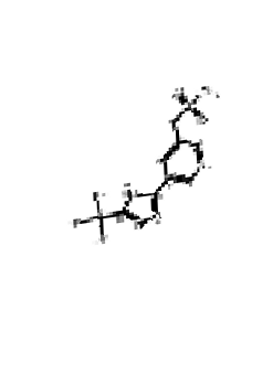 CS(=O)(=O)Cc1cncc(-c2nnc(C(F)(F)F)[nH]2)c1